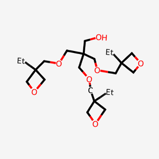 CCC1(COCC(CO)(COCC2(CC)COC2)COCC2(CC)COC2)COC1